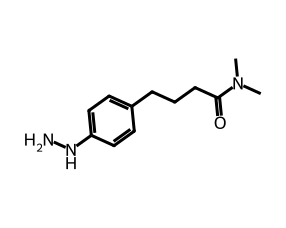 CN(C)C(=O)CCCc1ccc(NN)cc1